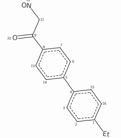 CCc1ccc(-c2ccc(C(=O)CN=O)cc2)cc1